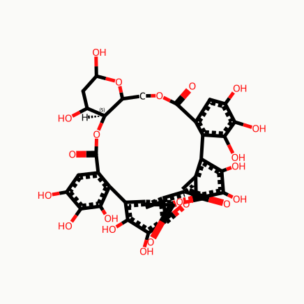 O=C1OCC2OC(O)CC(O)[C@@H]2OC(=O)c2cc(O)c(O)c(O)c2-c2c(O)c(O)c3oc(=O)c4c(c(O)c(O)c5oc(=O)c2c3c54)-c2c1cc(O)c(O)c2O